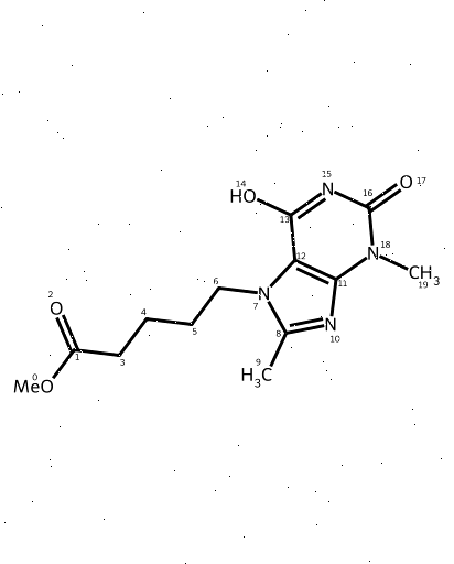 COC(=O)CCCCn1c(C)nc2c1c(O)nc(=O)n2C